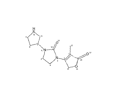 CC1=C(N2CCN(C3CCNC3)C2=O)COC1=O